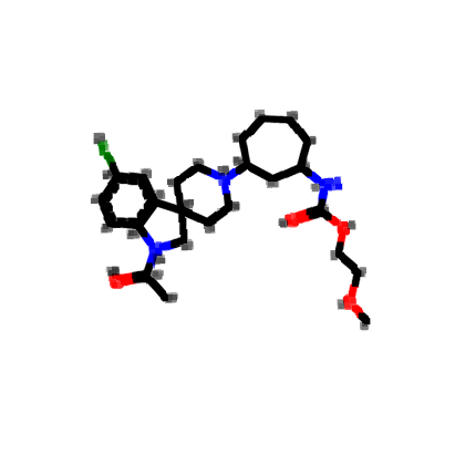 COCCOC(=O)NC1CCCCC(N2CCC3(CC2)CN(C(C)=O)c2ccc(F)cc23)C1